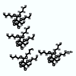 CCCCOC(OCCCC)C(=O)C(CC)(OCCCC)C(=O)[O-].CCCCOC(OCCCC)C(=O)C(CC)(OCCCC)C(=O)[O-].CCCCOC(OCCCC)C(=O)C(CC)(OCCCC)C(=O)[O-].CCCCOC(OCCCC)C(=O)C(CC)(OCCCC)C(=O)[O-].[Ti+4]